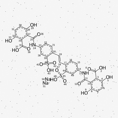 O=C(O)c1c(O)ccc(O)c1C(=O)Nc1ccc(C=Cc2ccc(NC(=O)c3c(O)ccc(O)c3C(=O)O)cc2S(=O)(=O)O)c(S(=O)(=O)O)c1.[Na].[Na]